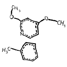 COc1ccnc(OC)c1.Cc1ccccc1